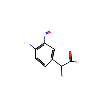 CC(C(=O)O)c1ccc(N)c(N=O)c1